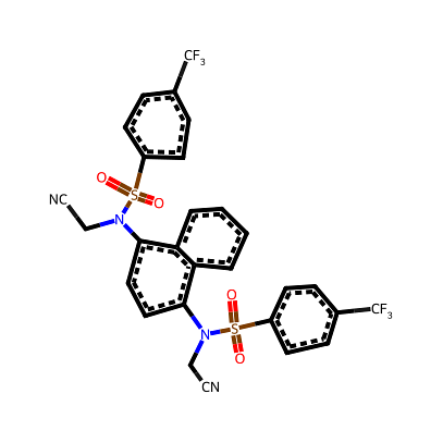 N#CCN(c1ccc(N(CC#N)S(=O)(=O)c2ccc(C(F)(F)F)cc2)c2ccccc12)S(=O)(=O)c1ccc(C(F)(F)F)cc1